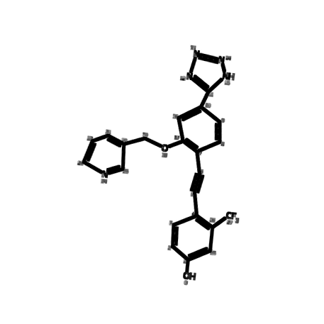 Oc1ccc(C#Cc2ccc(-c3nnn[nH]3)cc2OCc2cccnc2)c(C(F)(F)F)c1